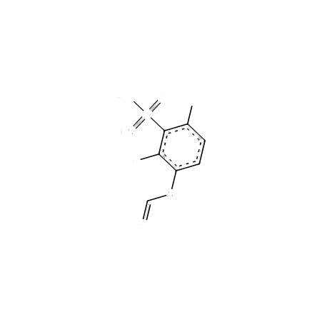 CS(=N)(=O)c1c(Cl)ccc(NC=O)c1O